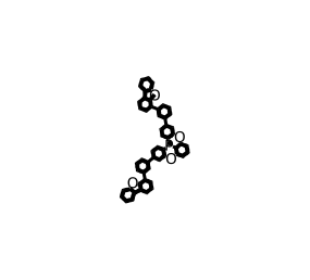 S=P12c3ccc(-c4cccc(-c5cccc6c5oc5ccccc56)c4)cc3Oc3cccc(c31)Oc1cc(-c3cccc(-c4cccc5c4oc4ccccc45)c3)ccc12